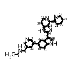 CCNCc1cncc(-c2ccc3[nH]nc(-c4nc5c(-c6ccccn6)nccc5[nH]4)c3c2)c1